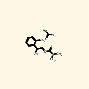 CC(=O)C(COC(=S)N(C)C)c1ccccc1C.NC(O)=S